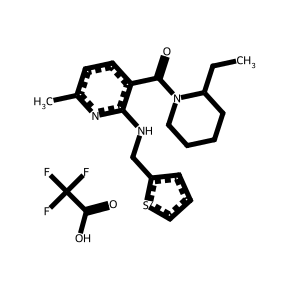 CCC1CCCCN1C(=O)c1ccc(C)nc1NCc1cccs1.O=C(O)C(F)(F)F